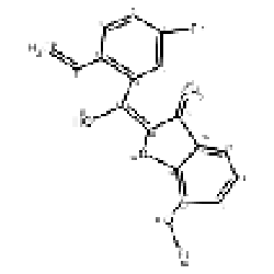 C=Cc1ccc(F)cc1/C(O)=c1/oc2c(OCC)cccc2c1=C